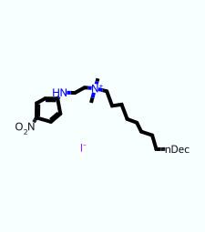 CCCCCCCCCCCCCCCCCC[N+](C)(C)CCNc1ccc([N+](=O)[O-])cc1.[I-]